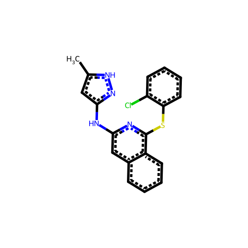 Cc1cc(Nc2cc3ccccc3c(Sc3ccccc3Cl)n2)n[nH]1